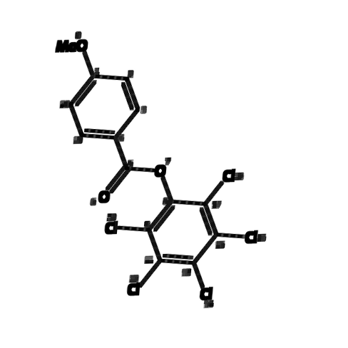 COc1ccc(C(=O)Oc2c(Cl)c(Cl)c(Cl)c(Cl)c2Cl)cc1